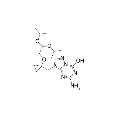 CC(C)OP(COC1(Cc2cnn3c(O)nc(N)nc23)CC1)OC(C)C